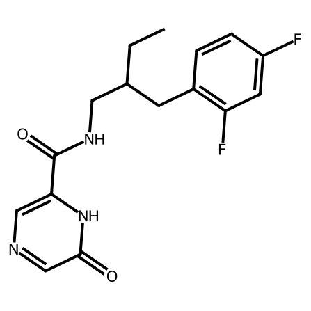 CCC(CNC(=O)c1cncc(=O)[nH]1)Cc1ccc(F)cc1F